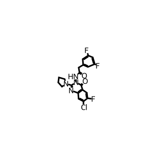 O=C(Cc1cc(F)cc(F)c1)Nn1c(N2CCCC2)nc2cc(Cl)c(F)cc2c1=O